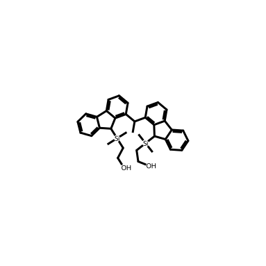 CC(c1cccc2c1C([Si](C)(C)CCO)c1ccccc1-2)c1cccc2c1C([Si](C)(C)CCO)c1ccccc1-2